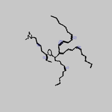 C/C=C(/C/C=C/CN(C)C)OC(CCC/C=C\CCCCC)C(/C=C\C/C=C\CCCCC)CCC/C=C\CCCCC